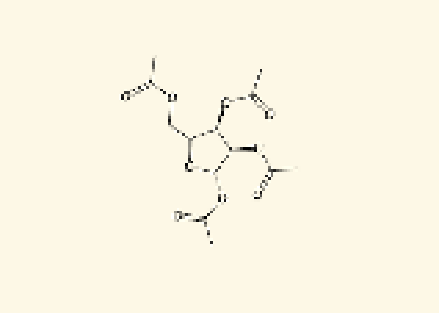 CC(=O)OCC1O[C@@H](OC(C)=O)[C@H](OC(C)=O)[C@@H]1OC(C)=O